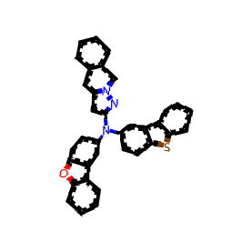 c1ccc2cn3nc(N(c4ccc5oc6ccccc6c5c4)c4ccc5sc6ccccc6c5c4)cc3cc2c1